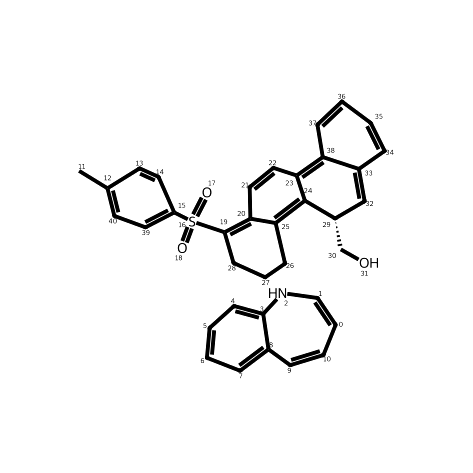 C1=CNc2ccccc2C=C1.Cc1ccc(S(=O)(=O)C2=c3ccc4c(c3CCC2)[C@@H](CO)C=c2ccccc2=4)cc1